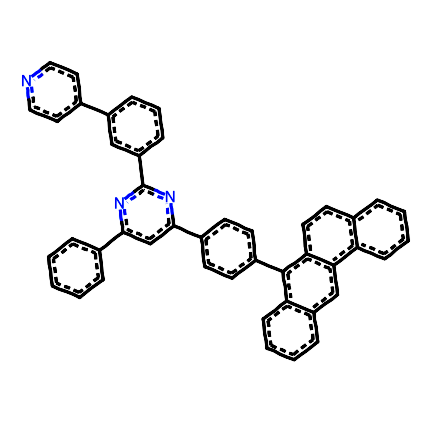 c1ccc(-c2cc(-c3ccc(-c4c5ccccc5cc5c4ccc4ccccc45)cc3)nc(-c3cccc(-c4ccncc4)c3)n2)cc1